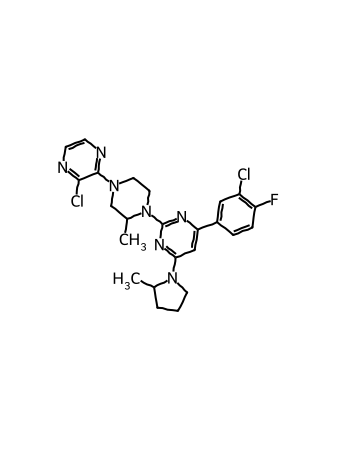 CC1CCCN1c1cc(-c2ccc(F)c(Cl)c2)nc(N2CCN(c3nccnc3Cl)CC2C)n1